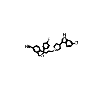 N#Cc1ccc2c(c1)COC2(CCCN1CCC(c2c[nH]c3cc(Cl)ccc23)CC1)c1ccc(F)cc1